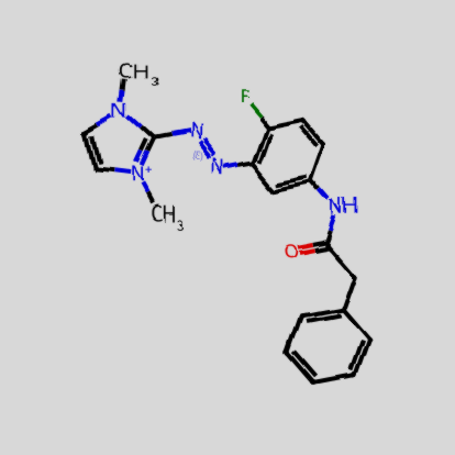 Cn1cc[n+](C)c1/N=N/c1cc(NC(=O)Cc2ccccc2)ccc1F